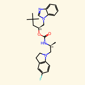 C[C@@H](CN1CCc2cc(F)ccc21)NC(=O)O[C@H](Cn1cnc2ccccc21)CC(C)(C)C